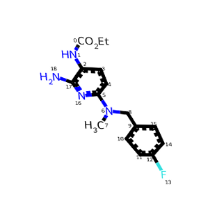 CCOC(=O)Nc1ccc(N(C)Cc2ccc(F)cc2)nc1N